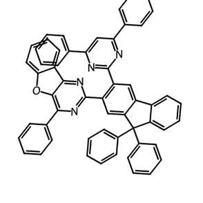 c1ccc(-c2cc(-c3ccccc3)nc(-c3cc4c(cc3-c3nc(-c5ccccc5)c5oc6ccccc6c5n3)C(c3ccccc3)(c3ccccc3)c3ccccc3-4)n2)cc1